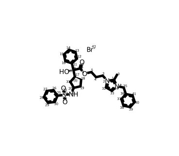 Cc1n(CCCOC(=O)[C@](O)(c2ccccc2)[C@H]2CCC(NS(=O)(=O)c3ccccc3)C2)cc[n+]1Cc1ccccc1.[Br-]